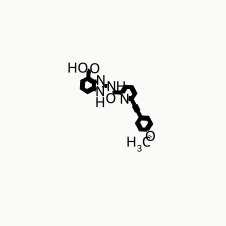 COc1ccc(C#Cc2cccc(C(=O)Nc3nc4c(C(=O)O)cccc4[nH]3)n2)cc1